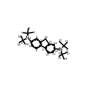 CC(C)(C)N(c1[c]c2c(cc1)-c1ccc(N(C(C)(C)C)C(C)(C)C)cc1C2)C(C)(C)C